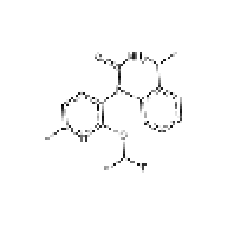 Cc1ccc(N(C(N)=O)c2ccccc2C(C)C)c(OC(F)F)n1